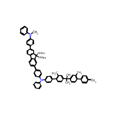 CCCCCCC1(CCCCCC)c2cc(-c3ccc(N(C)c4ccccc4)cc3)ccc2-c2ccc(-c3ccc(N(c4ccccc4)c4ccc(-c5ccc(C(C)(C)c6ccc(-c7ccc(C)cc7)c(C)c6)cc5C)cc4)cc3)cc21